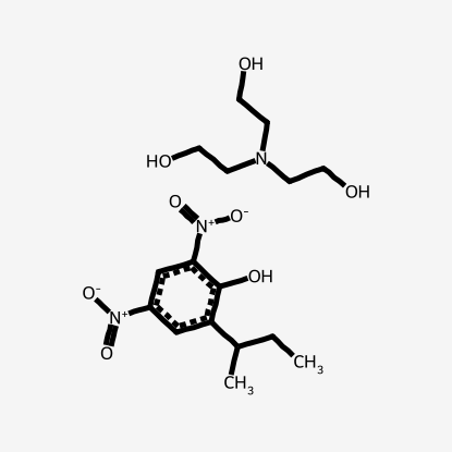 CCC(C)c1cc([N+](=O)[O-])cc([N+](=O)[O-])c1O.OCCN(CCO)CCO